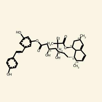 CCC(C)(C)C(=O)O[C@H]1C[C@@H](C)C=C2C=C[C@H](C)[C@H](CC[C@@H](O)C[C@@H](O)CC(=O)Oc3cc(O)cc(/C=C/c4ccc(O)cc4)c3)C21